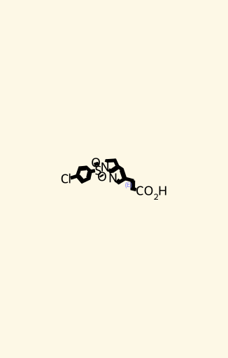 O=C(O)/C=C/c1cnc2c(c1)CCN2S(=O)(=O)c1ccc(Cl)cc1